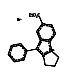 CCOC(=O)c1ccc2c(c1)c(-c1ccccc1)n1[n+]2CCC1.[Br-]